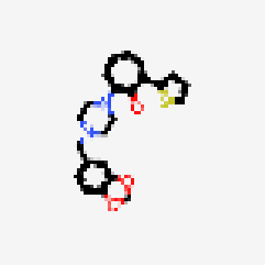 O=c1c(-c2cccs2)ccccc1N1CCN(Cc2ccc3c(c2)OCO3)CC1